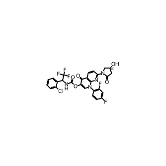 O=C(NC(c1ccccc1Cl)C(F)(F)F)Oc1cn(-c2ccc(F)cc2F)c2nc(N3C[C@@H](O)CC3=O)ccc2c1=O